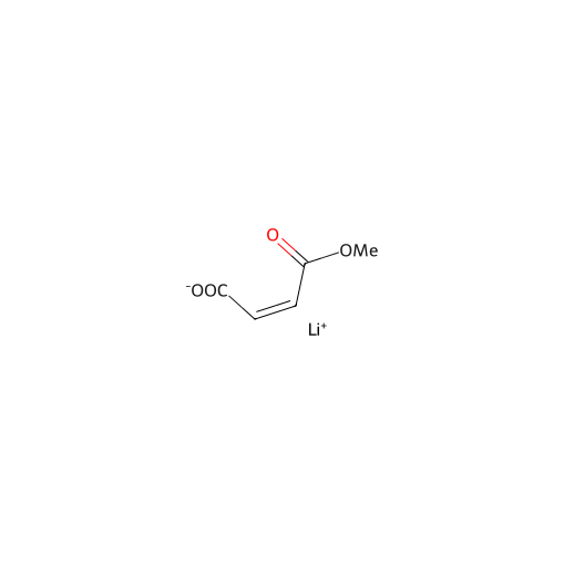 COC(=O)/C=C\C(=O)[O-].[Li+]